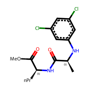 CCC[C@H](NC(=O)[C@H](C)Nc1cc(Cl)cc(Cl)c1)C(=O)OC